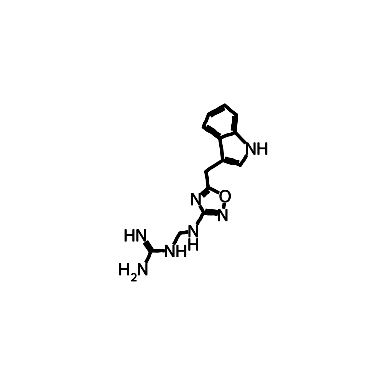 N=C(N)NCNc1noc(Cc2c[nH]c3ccccc23)n1